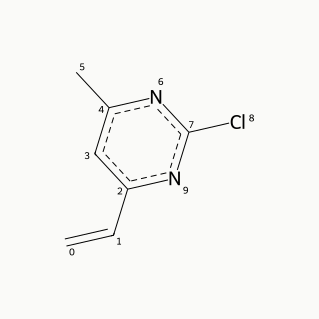 C=Cc1cc(C)nc(Cl)n1